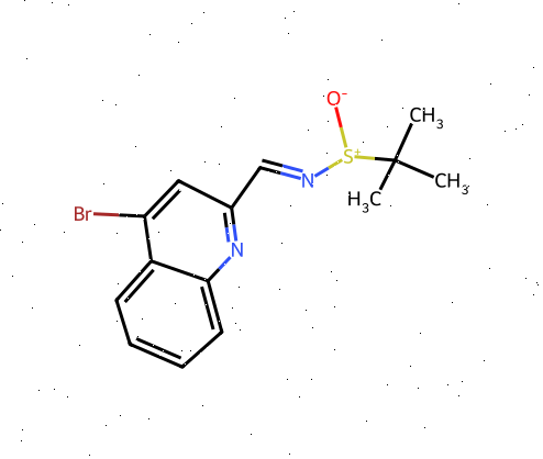 CC(C)(C)[S+]([O-])N=Cc1cc(Br)c2ccccc2n1